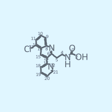 O=C(O)NCCc1nc2cccc(Cl)c2cc1-c1ccccn1